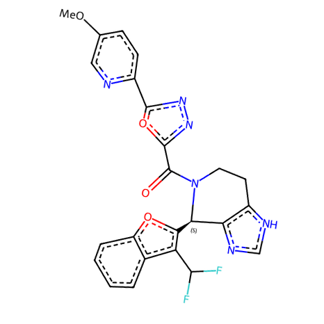 COc1ccc(-c2nnc(C(=O)N3CCc4[nH]cnc4[C@H]3c3oc4ccccc4c3C(F)F)o2)nc1